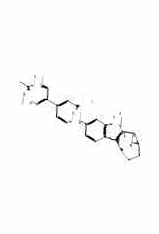 Cc1ncc(-c2ccn(-c3ccc4c5c(n(C)c4c3)CC3CCC5N3)c(=O)c2)cn1